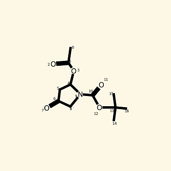 CC(=O)OC1CC(=O)CN1C(=O)OC(C)(C)C